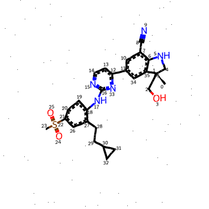 C[C@]1(CO)CNc2c(C#N)cc(-c3ccnc(Nc4ccc(S(C)(=O)=O)cc4CCC4CC4)n3)cc21